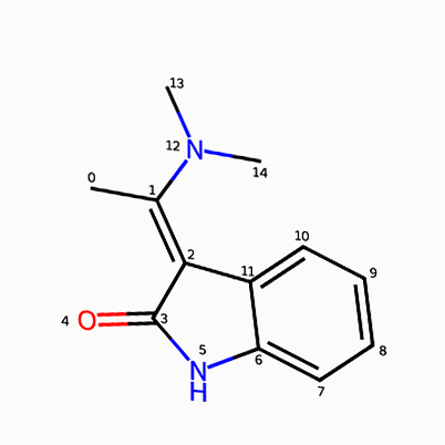 C/C(=C1\C(=O)Nc2ccccc21)N(C)C